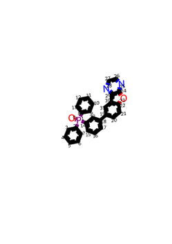 O=P(c1ccccc1)(c1ccccc1)c1cccc(-c2ccc3oc4nccnc4c3c2)c1